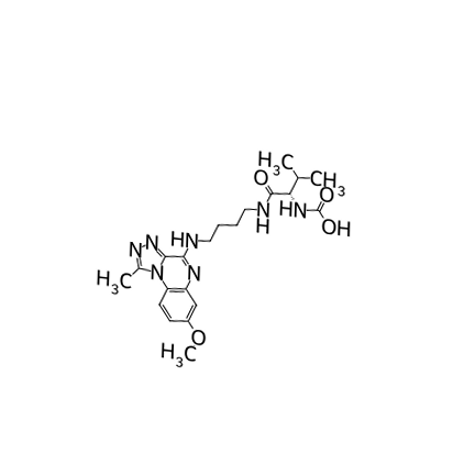 COc1ccc2c(c1)nc(NCCCCNC(=O)[C@@H](NC(=O)O)C(C)C)c1nnc(C)n12